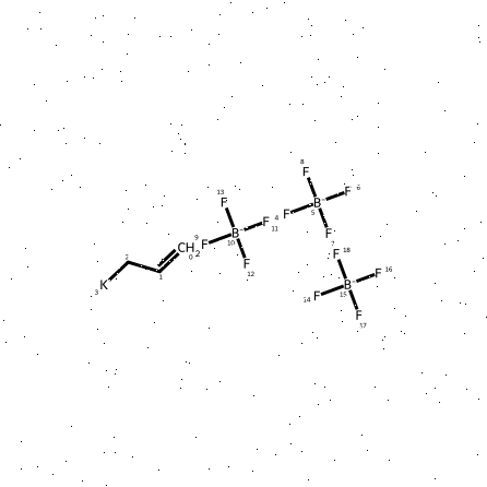 C=C[CH2][K].F[B-](F)(F)F.F[B-](F)(F)F.F[B-](F)(F)F